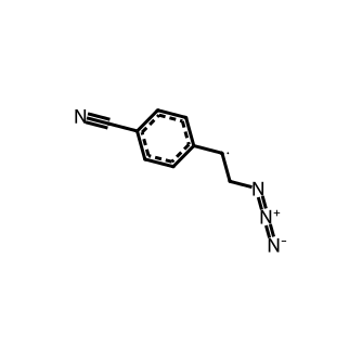 N#Cc1ccc([CH]CN=[N+]=[N-])cc1